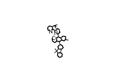 Cc1ccc2c(-c3ccc4ccc5cccnc5c4n3)c3ccccc3c(-c3ccc4c(c3)C(C)(C)c3ccccc3-4)c2c1